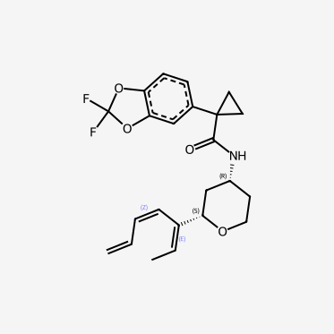 C=C/C=C\C(=C/C)[C@@H]1C[C@H](NC(=O)C2(c3ccc4c(c3)OC(F)(F)O4)CC2)CCO1